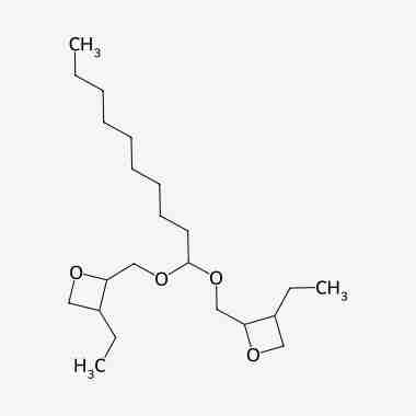 CCCCCCCCCC(OCC1OCC1CC)OCC1OCC1CC